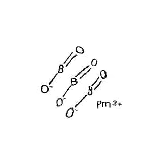 O=B[O-].O=B[O-].O=B[O-].[Pm+3]